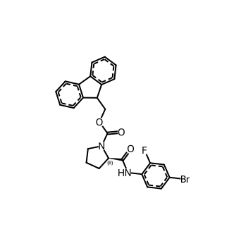 O=C(Nc1ccc(Br)cc1F)[C@H]1CCCN1C(=O)OCC1c2ccccc2-c2ccccc21